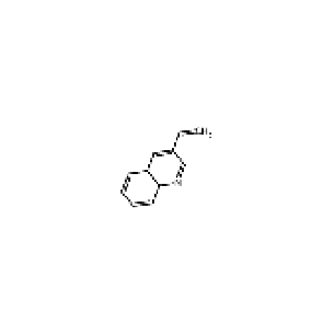 C=CC1=CC2C=CC=CC2N=C1